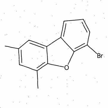 Cc1cc(C)c2oc3c(Br)cccc3c2c1